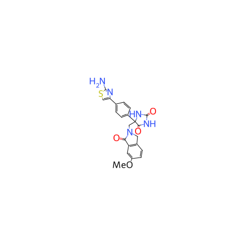 COc1ccc2c(c1)C(=O)N(CC1(c3ccc(-c4csc(N)n4)cc3)NC(=O)NC1=O)C2